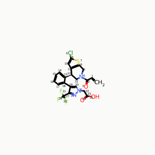 C=CC(=O)N1Cc2sc(Cl)cc2[C@H](c2ccccc2-c2cn(CC(=O)O)nc2C(F)(F)F)C1